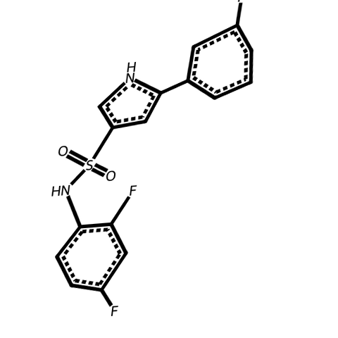 O=S(=O)(Nc1ccc(F)cc1F)c1c[nH]c(-c2cccc(F)c2)c1